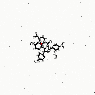 CCOc1cc(N(C)C)ccc1C1=NC(c2ccc(Cl)cc2)C(c2ccc(Cl)cc2)N1C(=O)N1CCN(C(C)=O)CC1